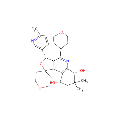 CC1(C)C[C@H](O)c2c(nc(C3CCOCC3)c3c2C2(CCOCC2)O[C@@H]3c2ccc(C(F)(F)F)nc2)[C@@H]1O